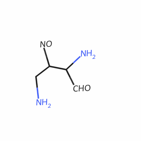 NCC(N=O)C(N)C=O